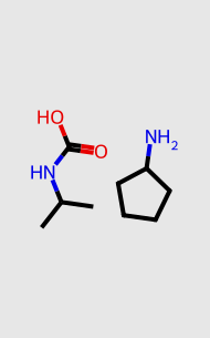 CC(C)NC(=O)O.NC1CCCC1